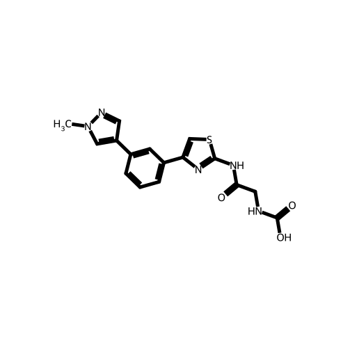 Cn1cc(-c2cccc(-c3csc(NC(=O)CNC(=O)O)n3)c2)cn1